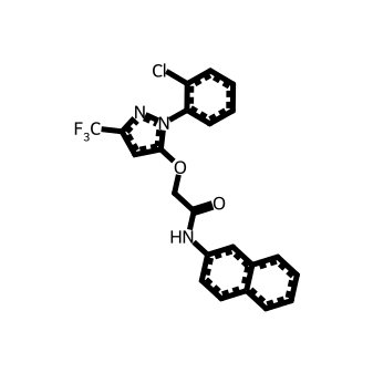 O=C(COc1cc(C(F)(F)F)nn1-c1ccccc1Cl)Nc1ccc2ccccc2c1